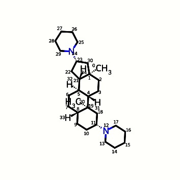 C[C@]12CC[C@H]3[C@@H](CC[C@H]4CC[C@@H](N5CCCCC5)C[C@@]43C)[C@@H]1C[C@H](N1CCCCC1)C2